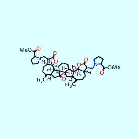 C=C1CC[C@H]2C(CN3CCCC3C(=O)OC)C(=O)O[C@@H]2[C@H]2[C@H]3CCC[C@]4(C(=O)C[C@H]5C(=C)CC[C@H]6C(CN7CCCC7C(=O)OC)C(=O)O[C@@H]6[C@H]54)[C@@]3(O)C[C@@H]12